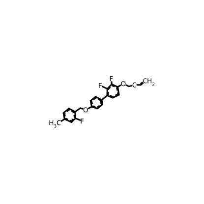 C=CCCOc1ccc(-c2ccc(OCc3ccc(C)cc3F)cc2)c(F)c1F